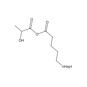 CCCCCCCCCCCC(=O)OC(=O)C(C)O